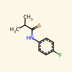 CC(C)C(=S)Nc1ccc(F)cc1